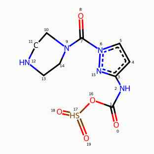 O=C(Nc1ccn(C(=O)N2CCNCC2)n1)O[SH](=O)=O